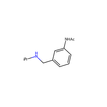 CC(=O)Nc1cccc(CNC(C)C)c1